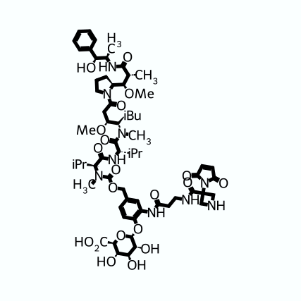 CC[C@H](C)[C@@H]([C@@H](CC(=O)N1CCC[C@H]1[C@H](OC)[C@@H](C)C(=O)N[C@H](C)[C@@H](O)c1ccccc1)OC)N(C)C(=O)[C@@H](NC(=O)[C@H](C(C)C)N(C)C(=O)OCc1ccc(O[C@@H]2O[C@H](C(=O)O)[C@@H](O)[C@H](O)[C@H]2O)c(NC(=O)CCNC(=O)C2(N3C(=O)C=CC3=O)CNC2)c1)C(C)C